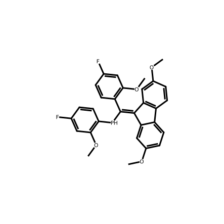 COc1ccc2c(c1)C(=C(Pc1ccc(F)cc1OC)c1ccc(F)cc1OC)c1cc(OC)ccc1-2